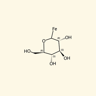 OC[C@H]1O[CH]([Fe])[C@H](O)[C@@H](O)[C@@H]1O